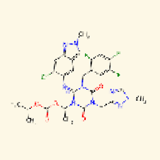 CC(C)OC(=O)OC(C)n1c(=O)n(Cc2ncn(C)n2)c(=O)n(Cc2cc(F)c(F)cc2F)/c1=N\c1cc2cn(C)nc2cc1Cl